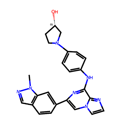 Cn1ncc2ccc(-c3cn4ccnc4c(Nc4ccc(N5CC[C@H](O)C5)cc4)n3)cc21